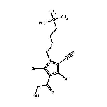 C[Si](C)(C)CCOCn1c(Br)c(C(=O)CO)c(Br)c1C#N